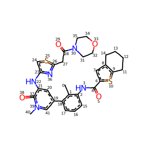 Cc1c(NC(=O)c2cc3c(s2)CCCC3)cccc1-c1cc(Nc2csc(CC(=O)N3CCOCC3)n2)c(=O)n(C)c1